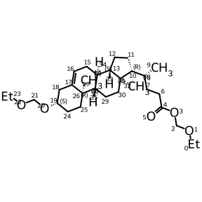 CCOCOC(=O)CC[C@@H](C)[C@H]1CC[C@H]2[C@@H]3CC=C4C[C@@H](OCOCC)CC[C@]4(C)[C@H]3CC[C@]12C